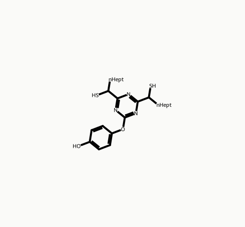 CCCCCCCC(S)c1nc(Oc2ccc(O)cc2)nc(C(S)CCCCCCC)n1